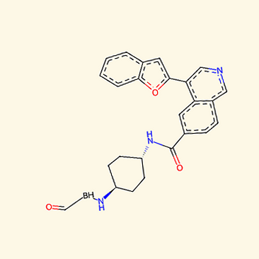 O=CBN[C@H]1CC[C@H](NC(=O)c2ccc3cncc(-c4cc5ccccc5o4)c3c2)CC1